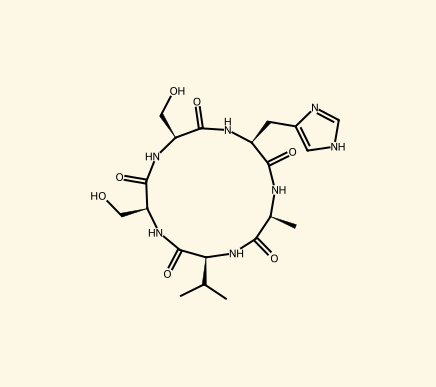 CC(C)[C@@H]1NC(=O)[C@H](C)NC(=O)[C@H](Cc2c[nH]cn2)NC(=O)[C@H](CO)NC(=O)[C@H](CO)NC1=O